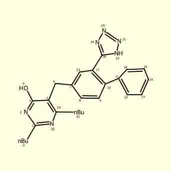 CCCCc1nc(O)c(Cc2ccc(-c3ccccc3)c(-c3nnn[nH]3)c2)c(CCCC)n1